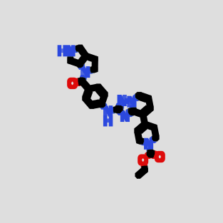 CCOC(=O)N1CC=C(c2cccn3nc(Nc4ccc(C(=O)N5CCC6CNCC65)cc4)nc23)CC1